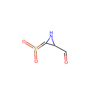 O=CC1NC1=S(=O)=O